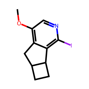 COc1cnc(I)c2c1CC1CCC21